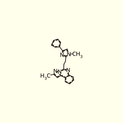 Cc1cc2c3ccccc3nc(CCc3nc(-c4ccccc4)cn3C)n2n1